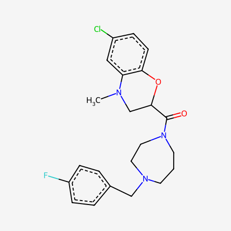 CN1CC(C(=O)N2CCCN(Cc3ccc(F)cc3)CC2)Oc2ccc(Cl)cc21